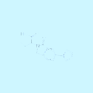 CCC(C(=O)O)N1Cc2ccc(-c3ccsc3)cc2C1=O